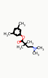 Cc1cc(C)cc(OC(=O)C(C)(C)CCN(C)C)c1